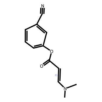 CN(C)/C=C/C(=O)Oc1cccc(C#N)c1